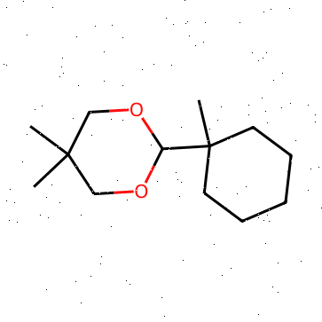 CC1(C)COC(C2(C)CCCCC2)OC1